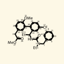 CCC(NC(=O)N(CC)Cc1ccccc1)c1cc(C(F)(F)F)ccc1-c1cc(CC(=O)OC)ccc1OC